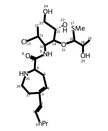 CCC/C=C/C1=CCC(C(=O)NC(C(C)Cl)C(OC(SC)C(C)O)[C@@H](O)CO)NCC1